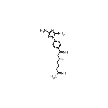 CC(=N)CCCC(F)CC(=N)c1ccc(-n2nc(N)nc2N)cc1